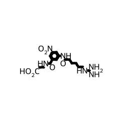 N=C(N)NCCCCCC(=O)Nc1cc(C(=O)NCCC(=O)O)cc([N+](=O)[O-])c1